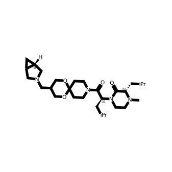 CC(C)C[C@H]1C(=O)N([C@@H](CC(C)C)C(=O)N2CCC3(CC2)OCC(CN2CC4C[C@@H]4C2)CO3)CCN1C